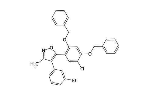 CCc1cccc(-c2c(C)noc2-c2cc(Cl)c(OCc3ccccc3)cc2OCc2ccccc2)c1